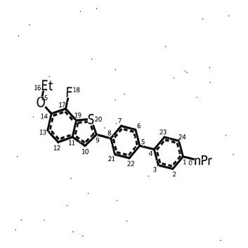 CCCc1ccc(-c2ccc(-c3cc4ccc(OCC)c(F)c4s3)cc2)cc1